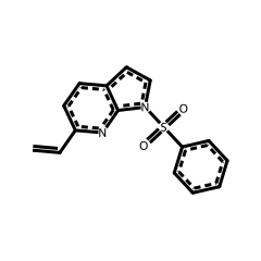 C=Cc1ccc2ccn(S(=O)(=O)c3ccccc3)c2n1